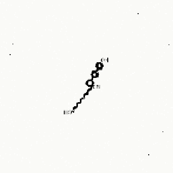 N#CC1(CCCCCCCCCCCO)CCCC(c2ccc(-c3ccc(O)cc3)cc2)C1